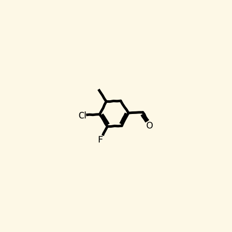 CC1CC(C=O)=CC(F)=C1Cl